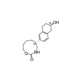 O=C1NC[C@@H](c2ccc3c(c2)CC[C@@H](O)C3)CCCCO1